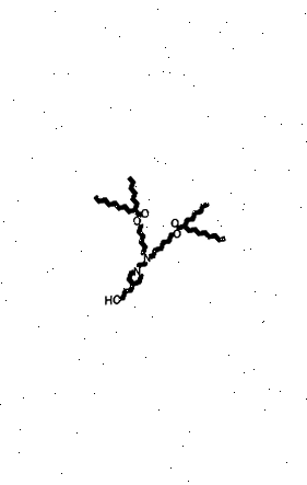 CCCCCCCCC(CCCCCC)C(=O)OCCCCCCN(CCCCCCOC(=O)C(CCCCCC)CCCCCCCC)CCN1CCC(CCCO)CC1